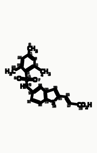 Cc1cc(C)c(S(=O)(=O)Nc2ccc3sc(C=CC(=O)O)cc3c2)c(C)c1